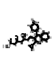 O=C(O)CC(=O)CC(O)C=Cc1c(C2CC2)nc2ccccc2c1-c1ccc(F)cc1